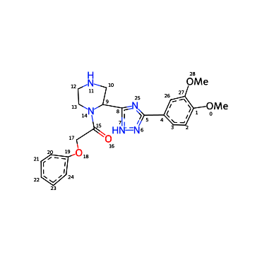 COc1ccc(-c2n[nH]c(C3CNCCN3C(=O)COc3ccccc3)n2)cc1OC